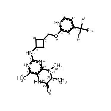 Cc1nc(NC2CC(COc3cc(C(F)(F)F)ccn3)C2)nc2c1NC(=O)[C@H](C)N2C